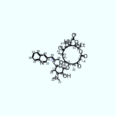 CC[C@H]1OC(=O)[C@H](C)C(=O)[C@H](C)[C@@H](O[C@@H]2O[C@H](C)C(C)[C@H](N(C)C)[C@H]2O)[C@@](C)(OC/C=C/c2cnc3ccccc3c2)C[C@@H](C)C(=O)[C@H](C)[C@H]2NC(=O)O[C@@]21C